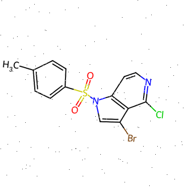 Cc1ccc(S(=O)(=O)n2cc(Br)c3c(Cl)nccc32)cc1